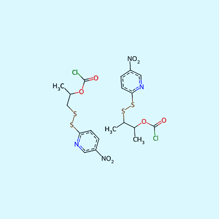 CC(CSSc1ccc([N+](=O)[O-])cn1)OC(=O)Cl.CC(OC(=O)Cl)C(C)SSc1ccc([N+](=O)[O-])cn1